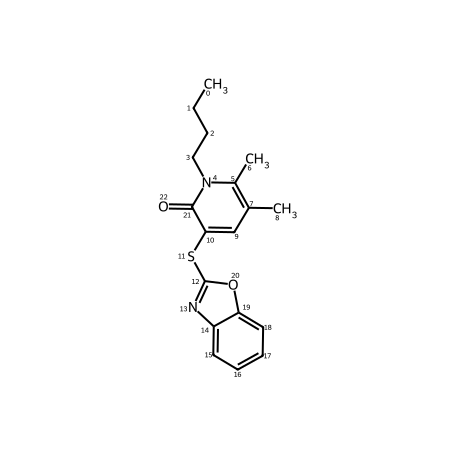 CCCCn1c(C)c(C)cc(Sc2nc3ccccc3o2)c1=O